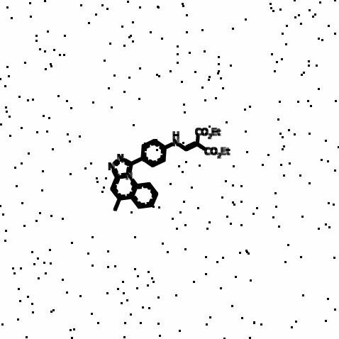 CCOC(=O)C(=CNc1ccc(-c2nnc3cc(C)c4ccccc4n23)cc1)C(=O)OCC